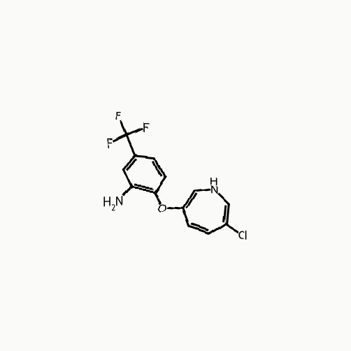 Nc1cc(C(F)(F)F)ccc1OC1=CNC=C(Cl)C=C1